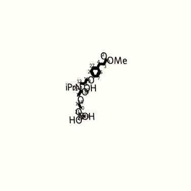 COC(=O)CCc1ccc(OCC(O)CN(C(=O)COCCON(O)O)C(C)C)cc1